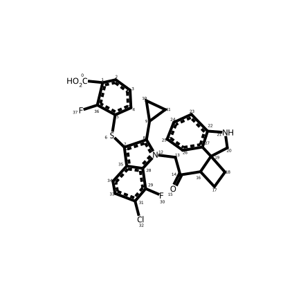 O=C(O)c1cccc(Sc2c(C3CC3)n(CC(=O)C3CCC34CNc3ccccc34)c3c(F)c(Cl)ccc23)c1F